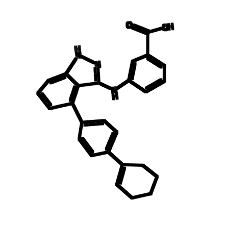 O=C(O)c1cccc(Nc2n[nH]c3cccc(-c4ccc(C5=CCCCC5)cc4)c23)c1